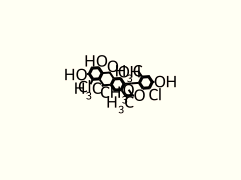 Cc1cc(O)c(Cl)c2c1C1OC(C)(Cc3cc4c(c(O)c31)C(=O)c1c(O)cc(O)c(Cl)c1C4(C)C)O2